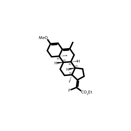 CCOC(=O)C(F)=C1CC[C@H]2[C@@H]3CC(C)=C4C=C(OC)CC[C@]4(C)[C@H]3CC[C@]12C